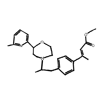 COC(=O)C=C(C)c1ccc(CC(C)N2CCOC(c3cccc(C)n3)C2)cc1